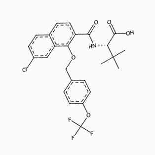 CC(C)(C)[C@H](NC(=O)c1ccc2ccc(Cl)cc2c1OCc1ccc(OC(F)(F)F)cc1)C(=O)O